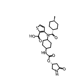 C[C@H]1CC[C@H](C(=O)N(c2ccsc2C(=O)O)C2CCC(NC(=O)O[C@H]3CNC(=O)C3)CC2)CC1